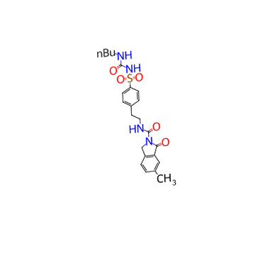 CCCCNC(=O)NS(=O)(=O)c1ccc(CCNC(=O)N2Cc3ccc(C)cc3C2=O)cc1